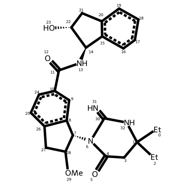 CCC1(CC)CC(=O)N([C@H]2c3cc(C(=O)N[C@@H]4c5ccccc5C[C@H]4O)ccc3CC2OC)C(=N)N1